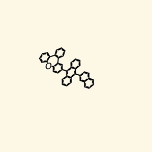 c1ccc2c(c1)Oc1ccc(-c3c4ccccc4c(-c4ccc5ccccc5c4)c4ccccc34)cc1-c1ccccc1-2